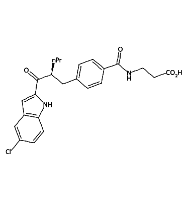 CCC[C@@H](Cc1ccc(C(=O)NCCC(=O)O)cc1)C(=O)c1cc2cc(Cl)ccc2[nH]1